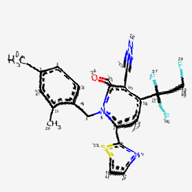 Cc1ccc(Cn2c(-c3nccs3)cc(C(F)(F)CF)c(C#N)c2=O)c(C)c1